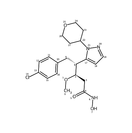 CO[C@H](CC(=O)NO)[C@H](Cc1ccc(Cl)cc1)c1ccnn1C1CCOCC1